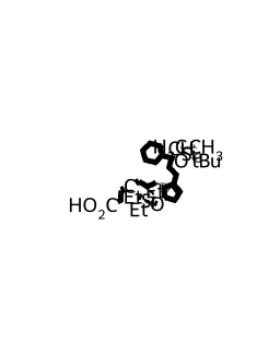 CC[Si](CC)(CC)OC1CC=C(CCC(C)(O[Si](C)(C)C(C)(C)C)C2CCCCC2)[C@H]1CCC=C=CCC(=O)O